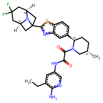 CCc1cc(NC(=O)C(=O)N2C[C@@H](C)CC[C@@H]2c2ccc3sc(C45C[C@H]6CC(F)(F)C[C@@H](C4)N65)nc3c2)cnc1N